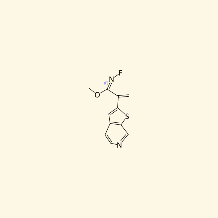 C=C(/C(=N\F)OC)c1cc2ccncc2s1